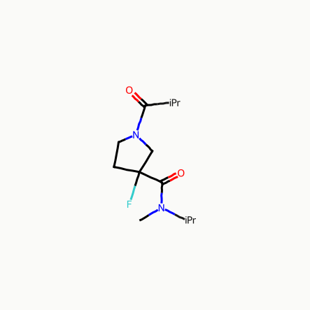 CC(C)C(=O)N1CCC(F)(C(=O)N(C)C(C)C)C1